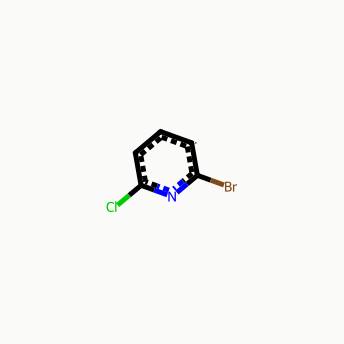 Clc1cc[c]c(Br)n1